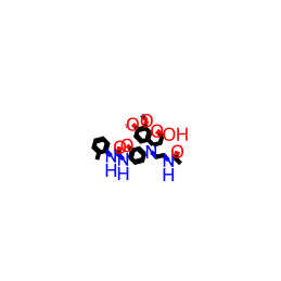 COc1cc(N(CCNC(C)=O)C(CC(=O)O)c2ccc(OC)c(OC)c2)ccc1NC(=O)Nc1ccccc1C